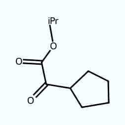 CC(C)OC(=O)C(=O)C1CCCC1